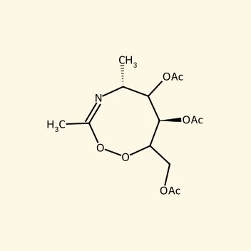 CC(=O)OCC1OO/C(C)=N\[C@H](C)C(OC(C)=O)[C@H]1OC(C)=O